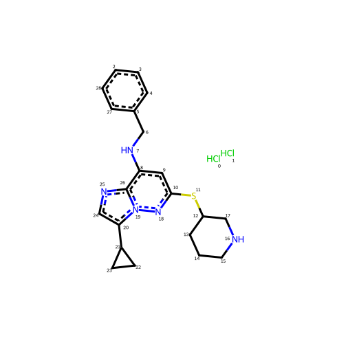 Cl.Cl.c1ccc(CNc2cc(SC3CCCNC3)nn3c(C4CC4)cnc23)cc1